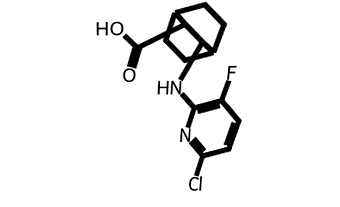 O=C(O)C1C2CCC(CC2)C1Nc1nc(Cl)ccc1F